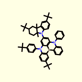 CC(C)(C)c1ccc(N2c3ccc(C(C)(C)C)cc3B3c4ccccc4N(c4ccccc4)c4cc(N5c6ccc(C(C)(C)C)cc6C6(C)CC(C(C)(C)C)CCC56C)cc2c43)cc1